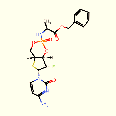 C[C@H](NP1(=O)OC[C@H]2S[C@@H](n3ccc(N)nc3=O)[C@@H](F)[C@@H]2O1)C(=O)OCc1ccccc1